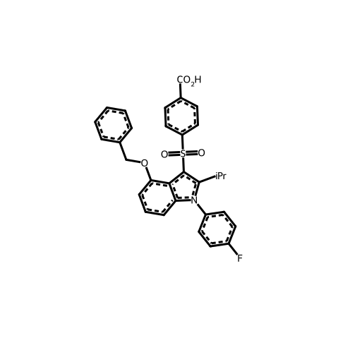 CC(C)c1c(S(=O)(=O)c2ccc(C(=O)O)cc2)c2c(OCc3ccccc3)cccc2n1-c1ccc(F)cc1